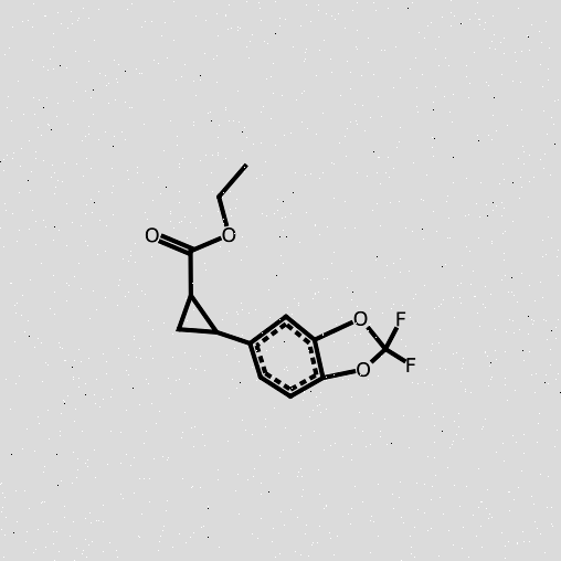 CCOC(=O)C1CC1c1ccc2c(c1)OC(F)(F)O2